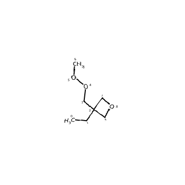 CCC1(COOC)COC1